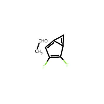 CC=O.Fc1cc2cc-2c1F